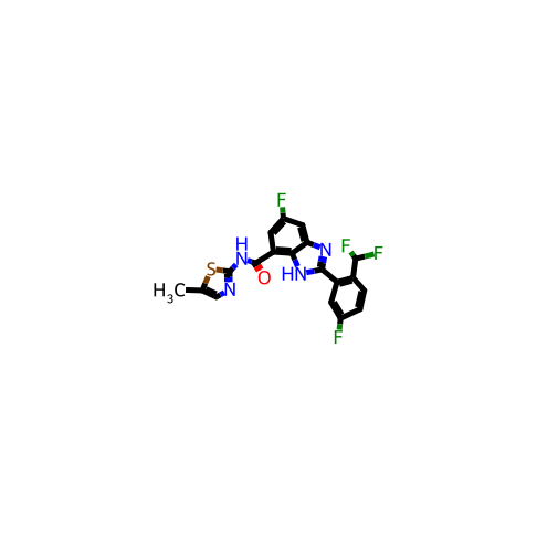 Cc1cnc(NC(=O)c2cc(F)cc3nc(-c4cc(F)ccc4C(F)F)[nH]c23)s1